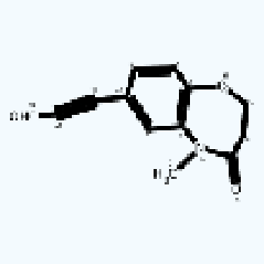 CN1C(=O)CCOc2ccc(C#CC=O)cc21